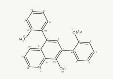 COc1ccccc1-c1cc(-c2ccccc2C)c2cccnc2c1O